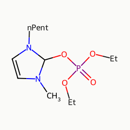 CCCCCN1C=CN(C)C1OP(=O)(OCC)OCC